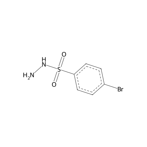 NNS(=O)(=O)c1ccc(Br)cc1